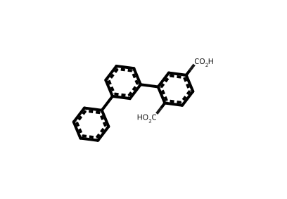 O=C(O)c1ccc(C(=O)O)c(-c2cccc(-c3ccccc3)c2)c1